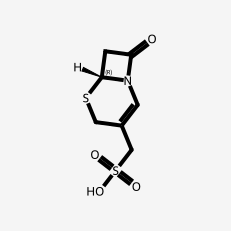 O=C1C[C@H]2SCC(CS(=O)(=O)O)=CN12